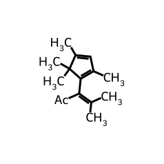 CC(=O)C(=C(C)C)C1=C(C)C=C(C)C1(C)C